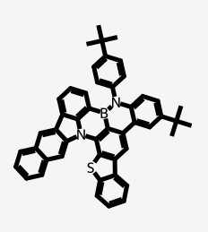 CC(C)(C)c1ccc(N2B3c4c(cc5c(sc6ccccc65)c4-n4c5cc6ccccc6cc5c5cccc3c54)-c3cc(C(C)(C)C)ccc32)cc1